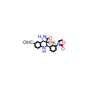 CC1(C(N)=O)Cc2cc([C]=O)ccc2NC1c1cccc(-n2ccoc2=O)c1